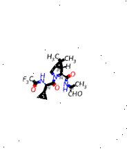 C[C@@H](C=O)NC(=O)[C@@H]1[C@@H]2C(CN1C(=O)[C@@H](NC(=O)C(F)(F)F)C1CC1)C2(C)C